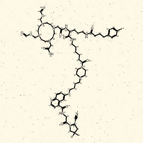 CC1(F)C[C@H](C#N)N(C(=O)CNC(=O)c2ccnc3ccc(OCCCCN4CCN(C(=O)CCCCCNC(=O)C(CCCNC(=O)CCCc5ccc(I)cc5)NC(=O)CN5CCN(COC=O)CCN(COC=O)CCN(CC(=O)O)CC5)CC4)cc23)C1